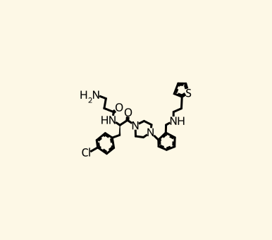 NCCC(=O)N[C@H](Cc1ccc(Cl)cc1)C(=O)N1CCN(c2ccccc2CNCCc2cccs2)CC1